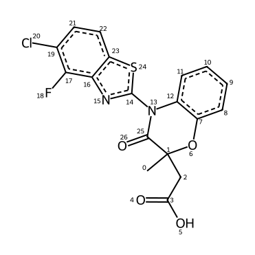 CC1(CC(=O)O)Oc2ccccc2N(c2nc3c(F)c(Cl)ccc3s2)C1=O